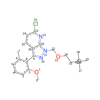 COc1cccc(C)c1-c1nn(COCC[Si](C)(C)C)c2nc(Cl)ccc12